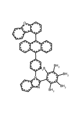 Bc1c(B)c(B)c(-c2nc3ccccc3n2-c2ccc(-c3c4ccccc4c(-c4cccc5oc6ccccc6c45)c4ccccc34)cc2)c(B)c1B